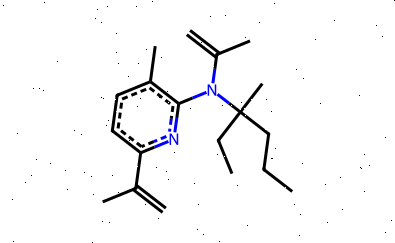 C=C(C)c1ccc(C)c(N(C(=C)C)C(C)(CC)CCC)n1